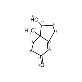 CC12CCC(=O)C=C1CCC2O